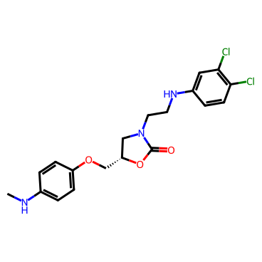 CNc1ccc(OC[C@@H]2CN(CCNc3ccc(Cl)c(Cl)c3)C(=O)O2)cc1